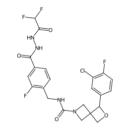 O=C(NNC(=O)C(F)F)c1ccc(CNC(=O)N2CC3(COC3c3ccc(F)c(Cl)c3)C2)c(F)c1